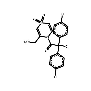 CCC1=CS(=O)(=O)C=CN1C(=O)C(Cl)(c1ccc(Cl)cc1)c1ccc(Cl)cc1